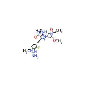 C=CC(=O)N1CC(n2nc(C#Cc3ccc4c(nc(N)n4C)c3F)c(C(N)=O)c2NC)C[C@@H]1COC